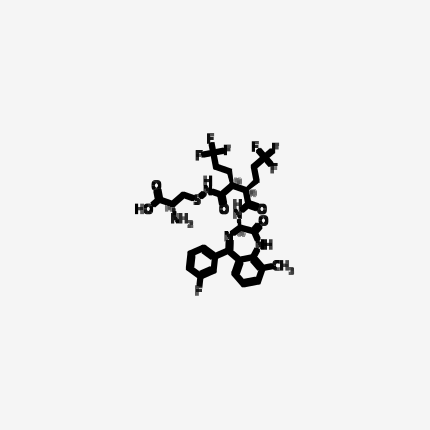 Cc1cccc2c1NC(=O)[C@@H](NC(=O)[C@H](CCC(F)(F)F)[C@H](CCC(F)(F)F)C(=O)NSC[C@H](N)C(=O)O)N=C2c1cccc(F)c1